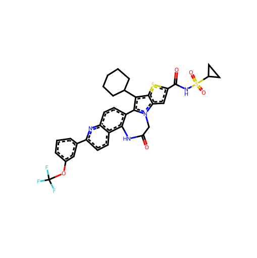 O=C1Cn2c(c(C3CCCCC3)c3sc(C(=O)NS(=O)(=O)C4CC4)cc32)-c2ccc3nc(-c4cccc(OC(F)(F)F)c4)ccc3c2N1